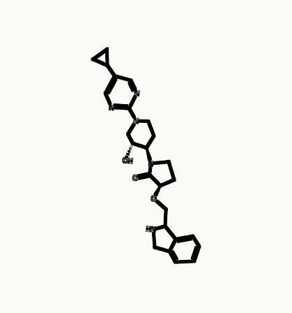 O=C1[C@H](OCC2NCc3ccccc32)CCN1[C@@H]1CCN(c2ncc(C3CC3)cn2)C[C@H]1O